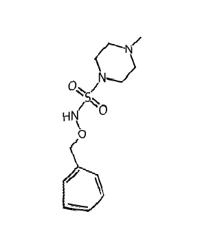 CN1CCN(S(=O)(=O)NOCc2ccccc2)CC1